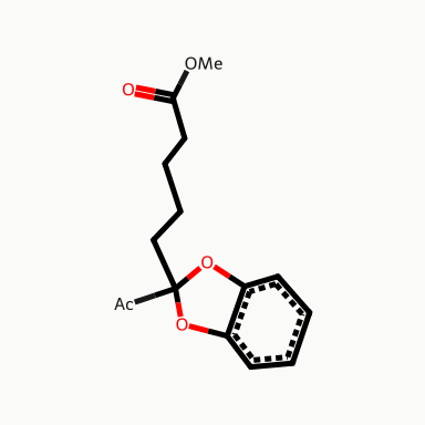 COC(=O)CCCCC1(C(C)=O)Oc2ccccc2O1